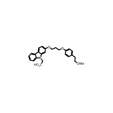 COCCc1ccc(OCCCOc2ccc3c4ccccc4n(CC(=O)O)c3c2)cc1